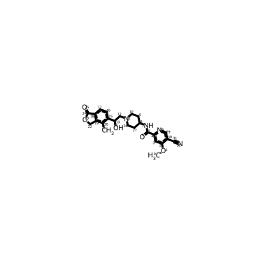 COc1cc(C(=O)NC2CCN(CC(O)c3ccc4c(c3C)COC4=O)CC2)ncc1C#N